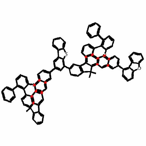 CC1(C)c2ccccc2-c2ccc(N(c3ccc(-c4cc(-c5ccc6c(c5)-c5ccc(N(c7ccc(-c8cccc9oc%10ccccc%10c89)cc7)c7cccc(-c8ccccc8)c7-c7ccccc7-c7ccccc7)cc5C6(C)C)c5sc6ccccc6c5c4)cc3)c3cccc(-c4ccccc4)c3-c3ccccc3-c3ccccc3)cc21